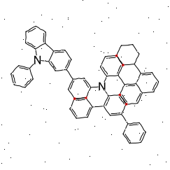 C1=C(c2ccc3c4ccccc4n(-c4ccccc4)c3c2)C=C(N(c2ccc(-c3ccccc3)cc2-c2ccccc2)c2ccccc2-c2cccc3cccc(C4CCCCC4)c23)CC1